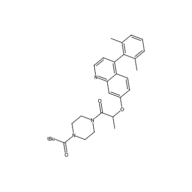 Cc1cccc(C)c1-c1ccnc2cc(OC(C)C(=O)N3CCN(C(=O)C(C)(C)C)CC3)ccc12